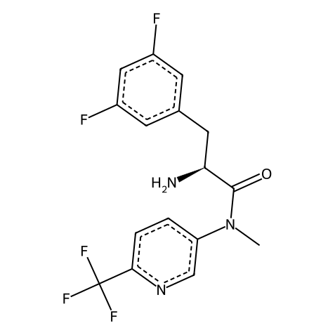 CN(C(=O)[C@@H](N)Cc1cc(F)cc(F)c1)c1ccc(C(F)(F)F)nc1